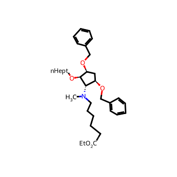 CCCCCCCO[C@@H]1[C@@H](N(C)CCCCCC(=O)OCC)[C@H](OCc2ccccc2)C[C@@H]1OCc1ccccc1